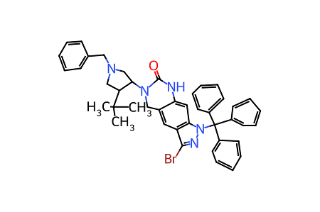 CC(C)(C)C1CN(Cc2ccccc2)CC1N1Cc2cc3c(Br)nn(C(c4ccccc4)(c4ccccc4)c4ccccc4)c3cc2NC1=O